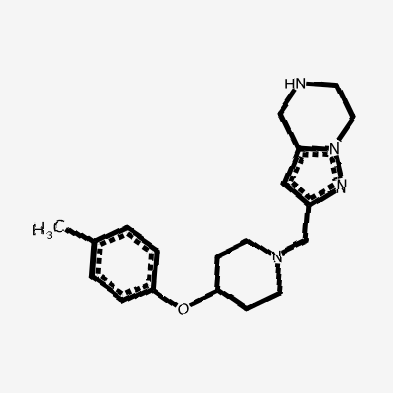 Cc1ccc(OC2CCN(Cc3cc4n(n3)CCNC4)CC2)cc1